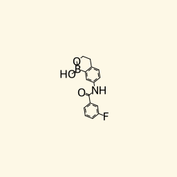 O=C(Nc1ccc2c(c1)B(O)OCC2)c1cccc(F)c1